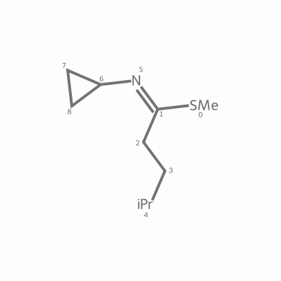 CS/C(CCC(C)C)=N/C1CC1